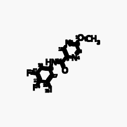 COc1cnc(C(=O)Nc2cc(F)c(F)c(I)c2)cn1